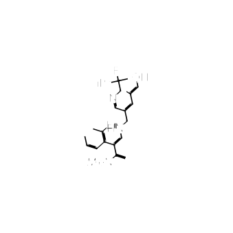 C=C(NC)C(=C/NCC(/C=N\CC(C)(F)C(C)C)=C/C(C)=C/O)/C(/C=C\C)=C(/C)CC